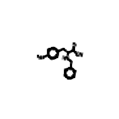 O=C(O)[C@H](Cc1ccc(O)cc1)NCc1ccccc1